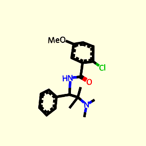 COc1ccc(Cl)c(C(=O)NC(c2ccccc2)C(C)(C)N(C)C)c1